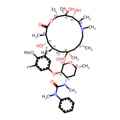 CC[C@H]1OC(=O)[C@H](C)[C@@H](O)[C@H](C)[C@@H](O[C@@H]2O[C@H](C)C[C@H](N(C)C(=O)N(C)c3ccccc3)[C@H]2Oc2cc(F)c(OC)c(F)c2)[C@](C)(O)C[C@@H](C)CN(C)[C@H](C)[C@@H](O)[C@]1(C)O